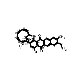 Cc1cc2cc3c(cc2cc1CN)C(=O)c1c(O)cc2c(c1C3=O)N[C@H]1C#C/C=C\C#C[C@@H](C)[C@@]23O[C@@]13[C@@H](C)O